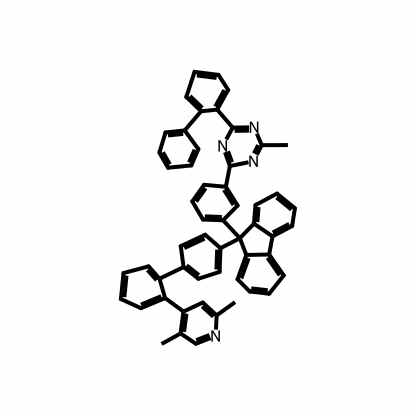 Cc1cc(-c2ccccc2-c2ccc(C3(c4cccc(-c5nc(C)nc(-c6ccccc6-c6ccccc6)n5)c4)c4ccccc4-c4ccccc43)cc2)c(C)cn1